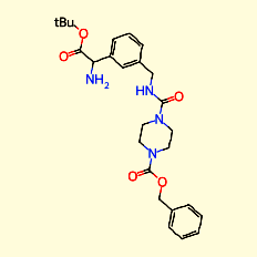 CC(C)(C)OC(=O)C(N)c1cccc(CNC(=O)N2CCN(C(=O)OCc3ccccc3)CC2)c1